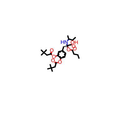 CCCC(=O)O[C@](Cc1ccc(OC(=O)CC(C)(C)C)c(OC(=O)CC(C)(C)C)c1)(NC(C)CC)C(=O)O